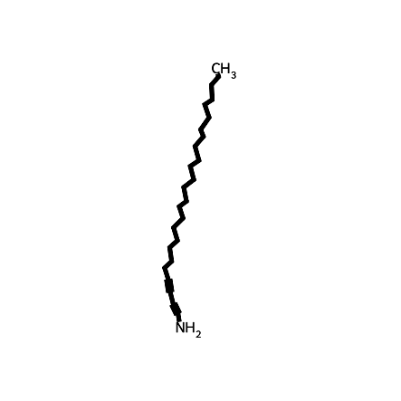 CCCCCCCCCCCCCCCCCCCCCC#CC#CN